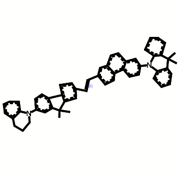 CC1(C)c2cc(/C=C/c3ccc4c(ccc5cc(N6c7ccccc7C(C)(C)c7ccccc76)ccc54)c3)ccc2-c2ccc(N3CCCc4ccccc43)cc21